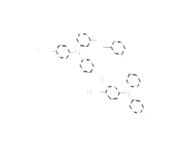 Cc1ccc(N(c2ccc(C)cc2)c2cccc(OCc3cccc(COc4cccc(N(c5ccc(C)cc5)c5ccc(C)cc5)c4)c3)c2)cc1